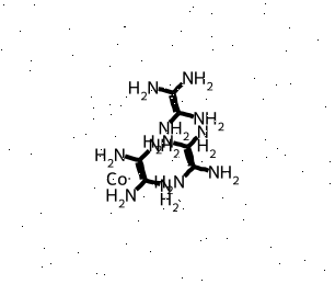 NC(N)=C(N)N.NC(N)=C(N)N.NC(N)=C(N)N.[Co]